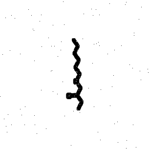 CCCCCCOCC(=O)CC